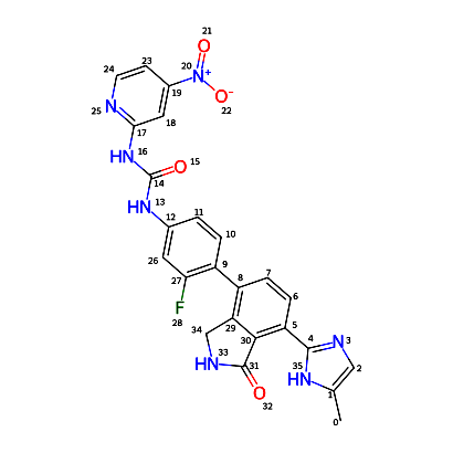 Cc1cnc(-c2ccc(-c3ccc(NC(=O)Nc4cc([N+](=O)[O-])ccn4)cc3F)c3c2C(=O)NC3)[nH]1